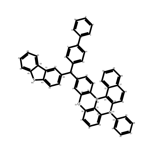 c1ccc(-c2ccc(C(c3ccc4c(c3)Oc3cccc5c3B4c3c(ccc4ccccc34)N5c3ccccc3)c3ccc4sc5ccccc5c4c3)cc2)cc1